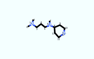 CN(C)CCCN(C)C1CC[N]CC1